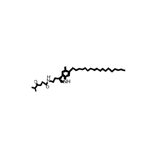 CCCCCCCCCCCCCCCCCCc1cc2[nH]cc(CCNC(=O)CCC(=O)C(C)C)c2cc1C